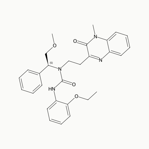 CCOc1ccccc1NC(=O)N(CCc1nc2ccccc2n(C)c1=O)[C@H](COC)c1ccccc1